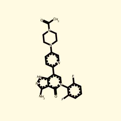 CC(=O)N1CCN(c2ccc(-c3cn(-c4c(F)cccc4F)c(=O)c4c(N)n[nH]c34)nc2)CC1